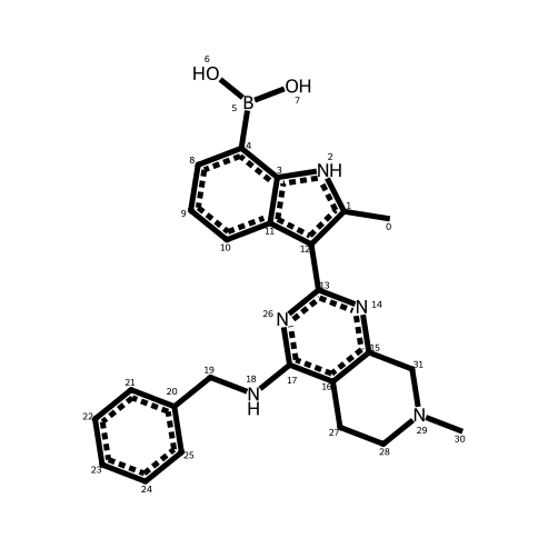 Cc1[nH]c2c(B(O)O)cccc2c1-c1nc2c(c(NCc3ccccc3)n1)CCN(C)C2